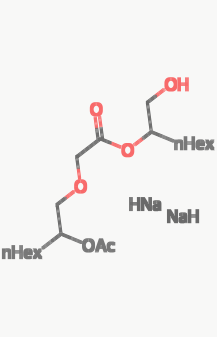 CCCCCCC(COCC(=O)OC(CO)CCCCCC)OC(C)=O.[NaH].[NaH]